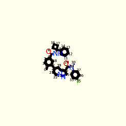 Cc1ccc(C(=O)NC2(c3ccccc3)CCC2)cc1-c1ccn2ncc(C(=O)N(C)c3ccc(F)cc3)c2c1